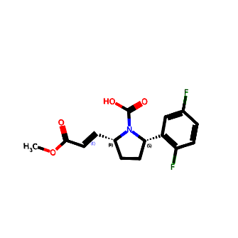 COC(=O)/C=C/[C@H]1CC[C@@H](c2cc(F)ccc2F)N1C(=O)O